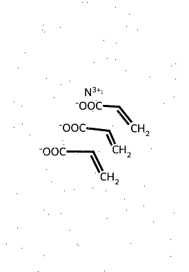 C=CC(=O)[O-].C=CC(=O)[O-].C=CC(=O)[O-].[N+3]